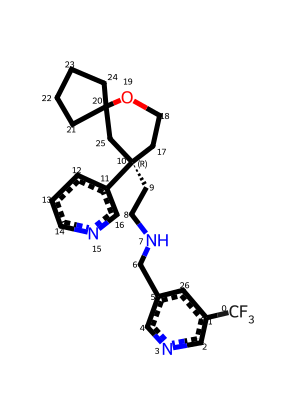 FC(F)(F)c1cncc(CNCC[C@@]2(c3cccnc3)CCOC3(CCCC3)C2)c1